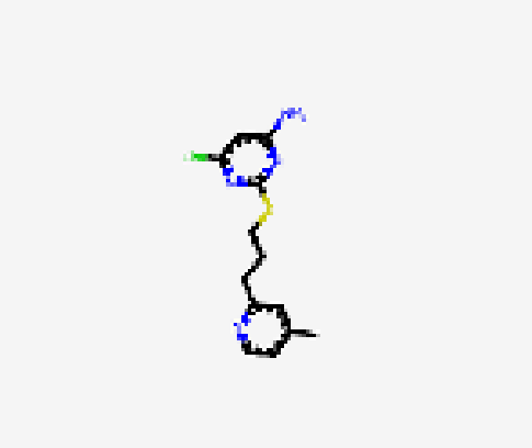 Cc1ccnc(CCCSc2nc(N)cc(Cl)n2)c1